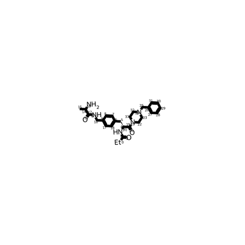 CCC(=O)N[C@H](Cc1ccc(CNC(=O)C(C)N)cc1)C(=O)N1CCN(Cc2ccccc2)CC1